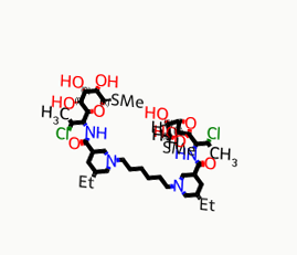 CCC1CC(C(=O)NC(C(C)Cl)C2O[C@H](SC)C(O)[C@H](O)[C@H]2O)CN(CCCCCCN2CC(CC)CC(C(=O)NC(C(C)Cl)C34OC([C@H]3O)[C@H](O)[C@@H](SC)O4)C2)C1